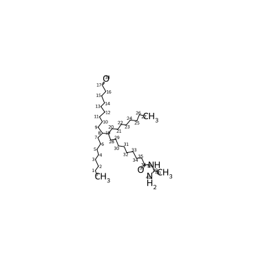 CCCCCCCCC(CCCCCCCCC=O)C(CCCCCCCC)CCCCCCCCC(=O)NC(C)N